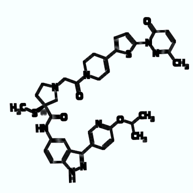 CS[C@@]1(C(=O)Nc2ccc3[nH]nc(-c4ccc(OC(C)C)nc4)c3c2)CCN(CC(=O)N2CC=C(c3ccc(-n4nc(C)ccc4=O)s3)CC2)C1